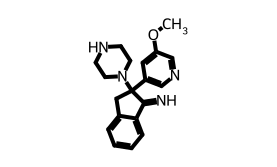 COc1cncc(C2(N3CCNCC3)Cc3ccccc3C2=N)c1